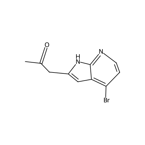 CC(=O)Cc1cc2c(Br)ccnc2[nH]1